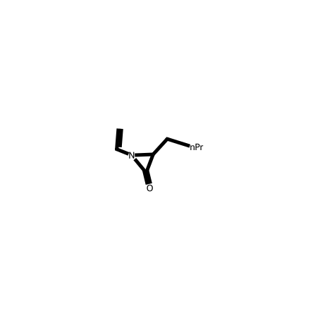 C=CN1C(=O)C1CCCC